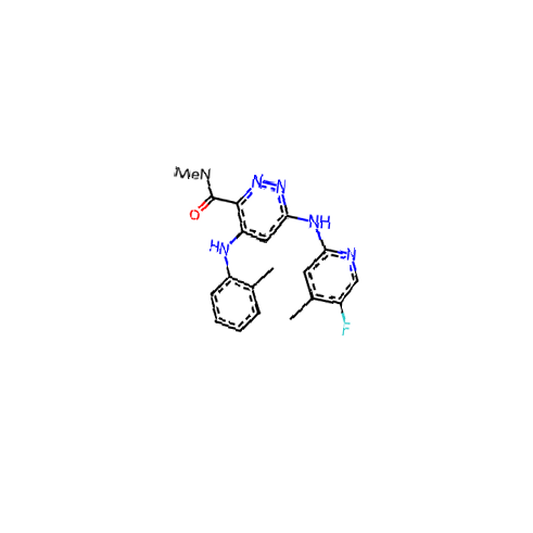 CNC(=O)c1nnc(Nc2cc(C)c(F)cn2)cc1Nc1ccccc1C